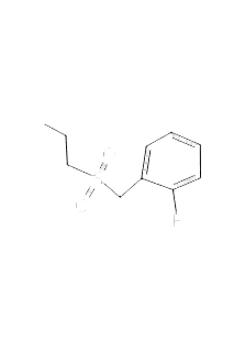 CCCS(=O)(=O)Cc1ccccc1F